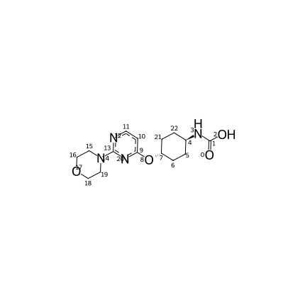 O=C(O)N[C@H]1CC[C@H](Oc2ccnc(N3CCOCC3)n2)CC1